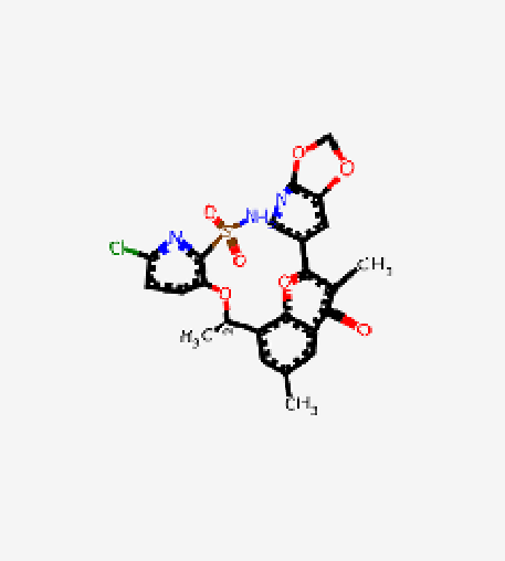 Cc1cc([C@@H](C)Oc2ccc(Cl)nc2S(N)(=O)=O)c2oc(-c3cnc4c(c3)OCO4)c(C)c(=O)c2c1